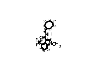 Cn1cc(C(=O)NCC2CCCCCC2)c2c(C(F)(F)F)cccc21